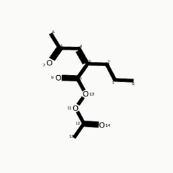 CCCC(=CC(C)=O)C(=O)OOC(C)=O